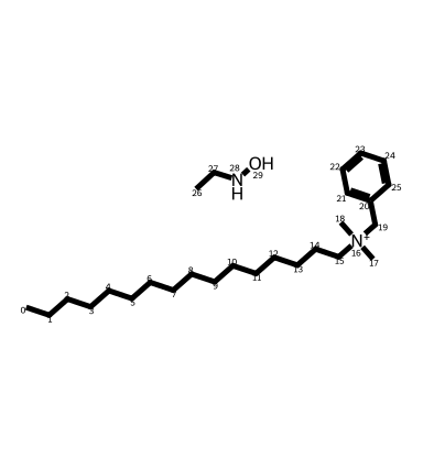 CCCCCCCCCCCCCCCC[N+](C)(C)Cc1ccccc1.CCNO